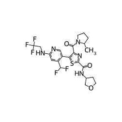 CC1CCCN1C(=O)c1nc(C(=O)NC2CCOC2)sc1-c1cnc(NCC(F)(F)F)cc1C(F)F